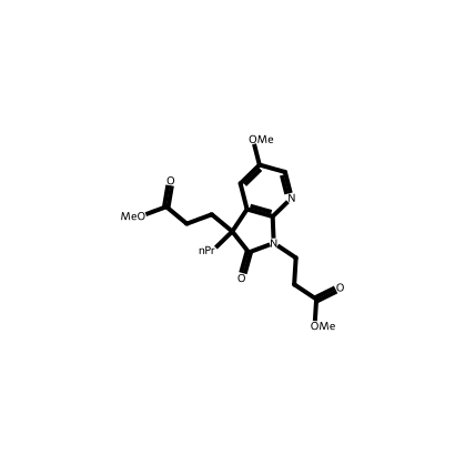 CCCC1(CCC(=O)OC)C(=O)N(CCC(=O)OC)c2ncc(OC)cc21